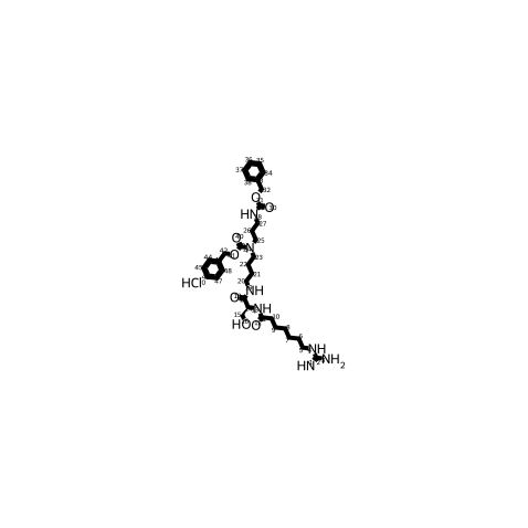 Cl.N=C(N)NCCCCCCC(=O)N[C@@H](CO)C(=O)NCCCCN(CCCNC(=O)OCc1ccccc1)C(=O)OCc1ccccc1